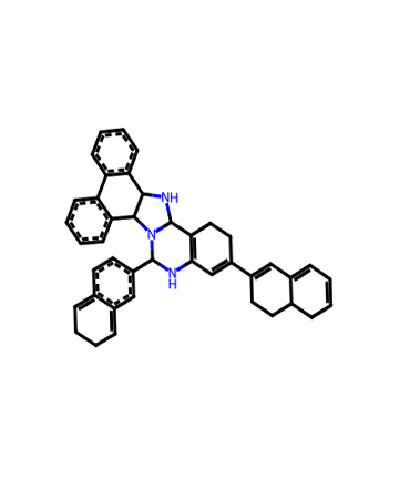 C1=CCC2CCC(C3=CC4=C(CC3)C3NC5c6ccccc6-c6ccccc6C5N3C(c3ccc5c(c3)=CCCC=5)N4)=CC2=C1